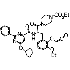 CCOC(=O)N1CCN(C(=O)C(Cc2cccc(OCC)c2OC=C=O)NC(=O)c2cc(OC3CCCC3)nc(-c3ccccc3)n2)CC1